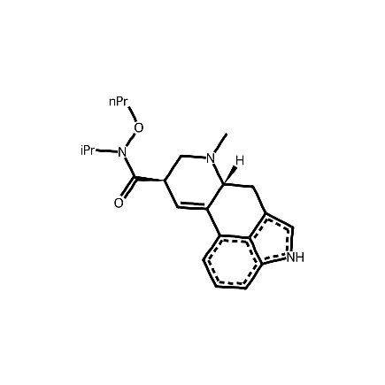 CCCON(C(=O)[C@@H]1C=C2c3cccc4[nH]cc(c34)C[C@H]2N(C)C1)C(C)C